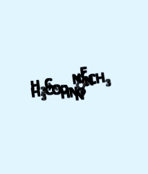 CC(C)COc1ccc(CNc2nccc(C3CCN(C)C3)c2Cc2ccc(F)cn2)cc1